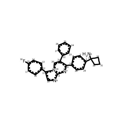 NC1(c2ccc(-c3nc4ncc(-c5ccc(F)cc5)n4cc3-c3ccccc3)cc2)CCC1